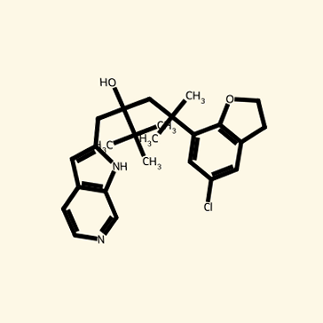 CC(C)(CC(O)(Cc1cc2ccncc2[nH]1)C(C)(C)C)c1cc(Cl)cc2c1OCC2